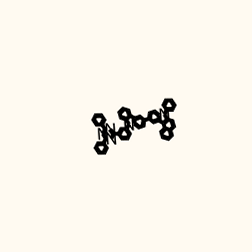 c1ccc(-c2nc(-c3ccccc3)nc(-c3cccc(-n4c5ccccc5c5cc(-c6ccc7c(c6)c6c8ccccc8ccc6n7-c6ccccc6)ccc54)c3)n2)cc1